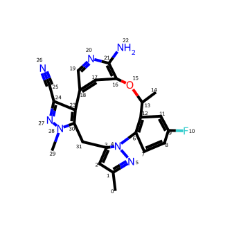 Cc1cc2n(n1)-c1ccc(F)cc1C(C)Oc1cc(cnc1N)-c1c(C#N)nn(C)c1C2